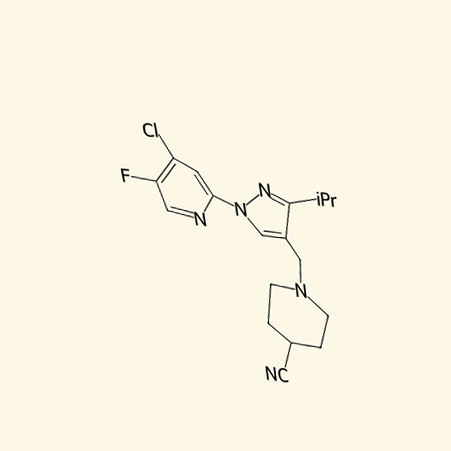 CC(C)c1nn(-c2cc(Cl)c(F)cn2)cc1CN1CCC(C#N)CC1